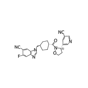 N#Cc1cncc([C@@H]2CCON2C(=O)[C@H]2CC[C@H](Cn3cnc4cc(F)c(C#N)cc43)CC2)c1